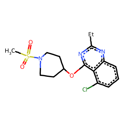 CCc1nc(OC2CCN(S(C)(=O)=O)CC2)c2c(Cl)cccc2n1